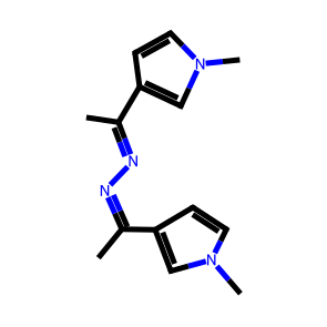 CC(=NN=C(C)c1ccn(C)c1)c1ccn(C)c1